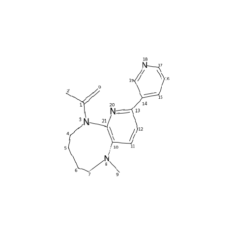 C=C(C)N1CCCCN(C)c2ccc(-c3cccnc3)nc21